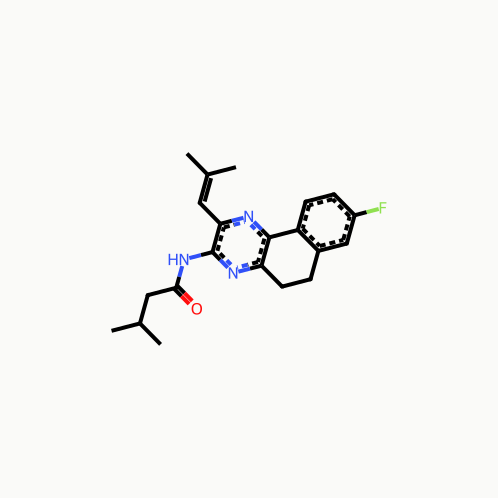 CC(C)=Cc1nc2c(nc1NC(=O)CC(C)C)CCc1cc(F)ccc1-2